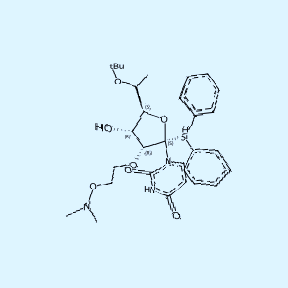 CC(OC(C)(C)C)[C@H]1O[C@](n2ccc(=O)[nH]c2=O)([SiH](c2ccccc2)c2ccccc2)[C@H](OCCON(C)C)[C@@H]1O